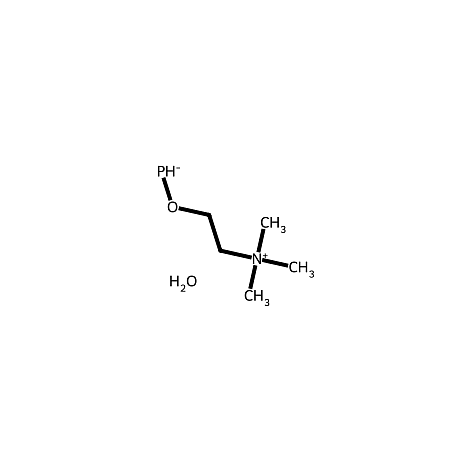 C[N+](C)(C)CCO[PH-].O